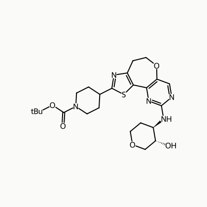 CC(C)(C)OC(=O)N1CCC(c2nc3c(s2)-c2nc(N[C@@H]4CCOC[C@H]4O)ncc2OCC3)CC1